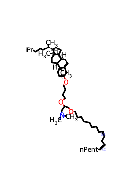 CCCCC/C=C\C/C=C\CCCCCCCCOCC(CN(C)C)OCCCCO[C@H]1CC[C@@]2(C)C(=CC[C@H]3[C@@H]4CC[C@H](C(C)CCCC(C)C)[C@@]4(C)CC[C@@H]32)C1